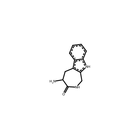 NC1Cc2c([nH]c3ccccc23)CNC1=O